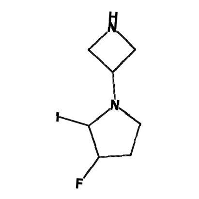 FC1CCN(C2CNC2)C1I